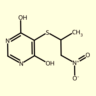 CC(C[N+](=O)[O-])Sc1c(O)ncnc1O